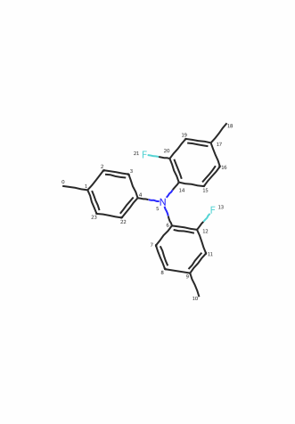 Cc1ccc(N(c2ccc(C)cc2F)c2ccc(C)cc2F)cc1